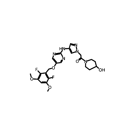 COc1cc(OC)c(F)c(COc2cnc(Nc3cnn(CC(=O)N4CCC(O)CC4)c3)nc2)c1F